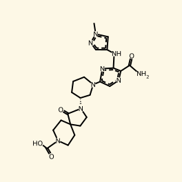 Cn1cc(Nc2nc(N3CCC[C@@H](N4CCC5(CCN(C(=O)O)CC5)C4=O)C3)cnc2C(N)=O)cn1